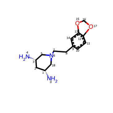 N[C@@H]1C[C@H](N)CN(CCc2ccc3c(c2)OCO3)C1